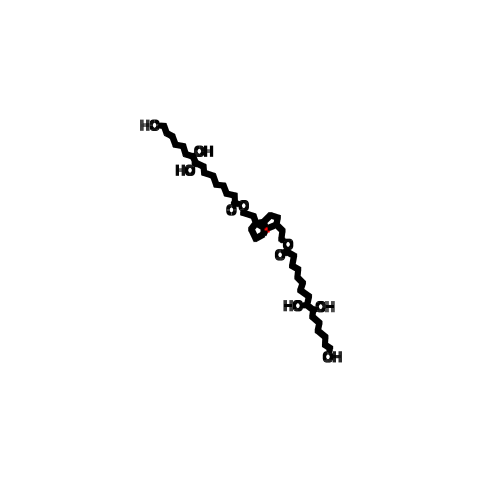 O=C(CCCCCCCC(O)C(O)CCCCCCO)OCCC1CCC2C1C1CCC2(CCOC(=O)CCCCCCCC(O)C(O)CCCCCCO)C1